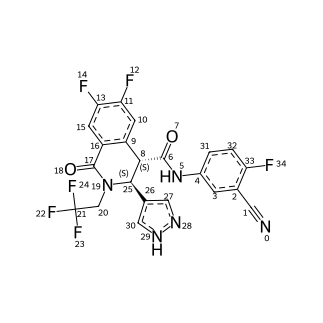 N#Cc1cc(NC(=O)[C@H]2c3cc(F)c(F)cc3C(=O)N(CC(F)(F)F)[C@@H]2c2cn[nH]c2)ccc1F